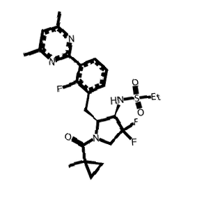 CCS(=O)(=O)N[C@@H]1[C@H](Cc2cccc(-c3nc(C)cc(C)n3)c2F)N(C(=O)C2(C)CC2)CC1(F)F